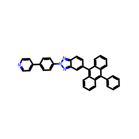 c1ccc(-c2c3ccccc3c(-c3ccc4nn(-c5ccc(-c6ccncc6)cc5)nc4c3)c3ccccc23)cc1